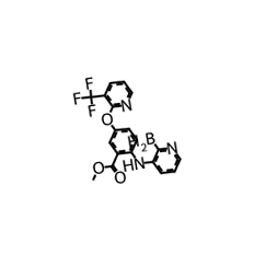 Bc1ncccc1Nc1ccc(Oc2ncccc2C(F)(F)F)cc1C(=O)OC